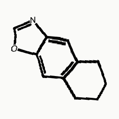 c1nc2cc3c(cc2o1)CCCC3